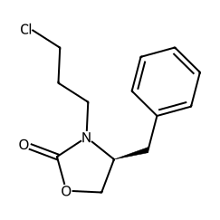 O=C1OC[C@H](Cc2ccccc2)N1CCCCl